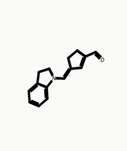 O=CC1=C/C(=C/N2CCc3ccccc32)CC1